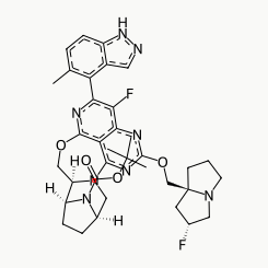 Cc1ccc2[nH]ncc2c1-c1nc2c3c(nc(OC[C@@]45CCCN4C[C@H](F)C5)nc3c1F)N1C[C@H]3CC[C@@H]([C@H]1CO2)N3C(=O)OC(C)(C)C